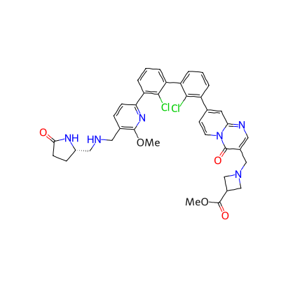 COC(=O)C1CN(Cc2cnc3cc(-c4cccc(-c5cccc(-c6ccc(CNC[C@@H]7CCC(=O)N7)c(OC)n6)c5Cl)c4Cl)ccn3c2=O)C1